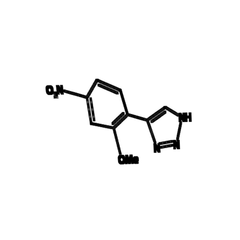 COc1cc([N+](=O)[O-])ccc1-c1c[nH]nn1